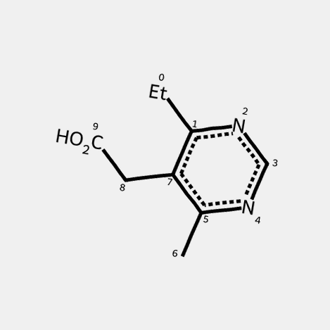 CCc1ncnc(C)c1CC(=O)O